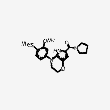 COc1cc(N2CCOc3cc(C(=O)N4CCCC4)[nH]c32)ccc1SC